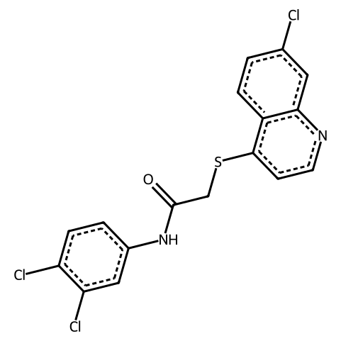 O=C(CSc1ccnc2cc(Cl)ccc12)Nc1ccc(Cl)c(Cl)c1